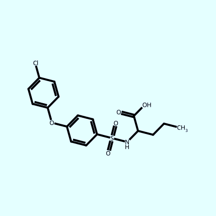 CCCC(NS(=O)(=O)c1ccc(Oc2ccc(Cl)cc2)cc1)C(=O)O